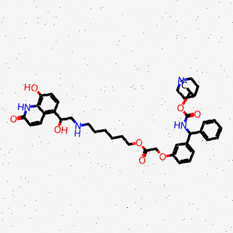 O=C(COc1cccc(C(NC(=O)OC2CN3CCC2CC3)c2ccccc2)c1)OCCCCCCNCC(O)c1ccc(O)c2[nH]c(=O)ccc12